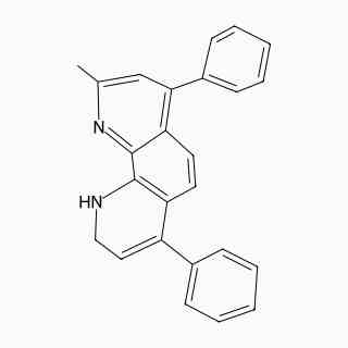 Cc1cc(-c2ccccc2)c2ccc3c(c2n1)NCC=C3c1ccccc1